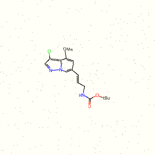 COc1cc(C=CCNC(=O)OC(C)(C)C)cn2ncc(Cl)c12